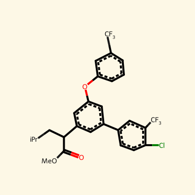 COC(=O)C(CC(C)C)c1cc(Oc2cccc(C(F)(F)F)c2)cc(-c2ccc(Cl)c(C(F)(F)F)c2)c1